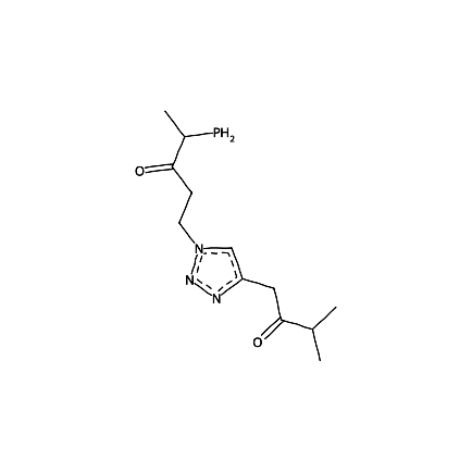 CC(C)C(=O)Cc1cn(CCC(=O)C(C)P)nn1